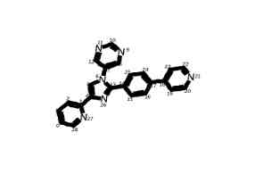 c1ccc(-c2cn(-c3cncnc3)c(-c3ccc(-c4ccncc4)cc3)n2)nc1